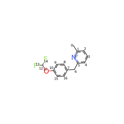 Cc1cccc(Cc2ccc(OC(F)F)cc2)n1